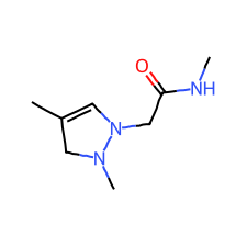 CNC(=O)CN1C=C(C)CN1C